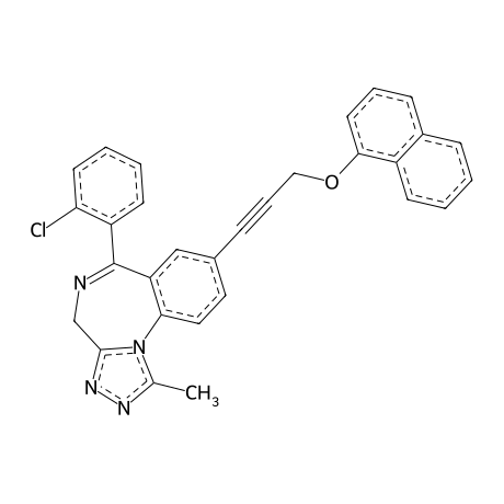 Cc1nnc2n1-c1ccc(C#CCOc3cccc4ccccc34)cc1C(c1ccccc1Cl)=NC2